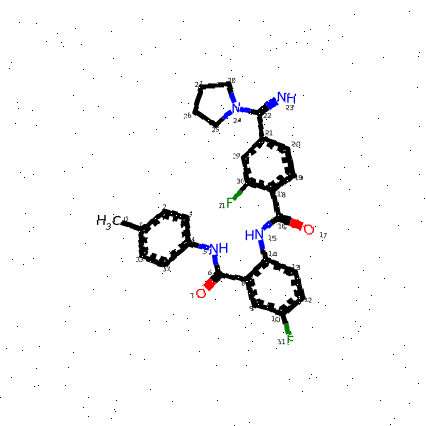 Cc1ccc(NC(=O)c2cc(F)ccc2NC(=O)c2ccc(C(=N)N3CCCC3)cc2F)cc1